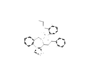 CCOc1ccccc1S(=O)(=O)N1Cc2ccccc2-n2cnnc2C1CCc1ccccc1